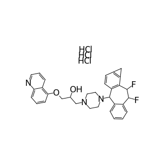 Cl.Cl.Cl.OC(COc1cccc2ncccc12)CN1CCN(C2c3ccccc3C(F)C(F)c3c2ccc2c3C2)CC1